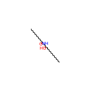 CCCCCCCCCCCCC/C=C/C(O)CCNC(=O)CCCCCCCCCCCCC